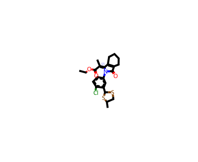 CCOC(=O)/C(C)=C1/C2=C(CCCC2)C(=O)N1c1ccc(Cl)c(C2SCC(C)S2)c1